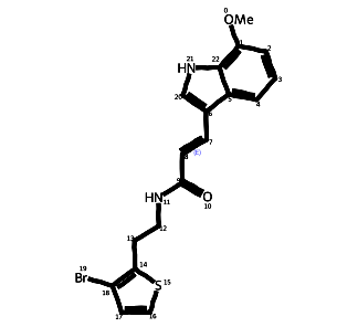 COc1cccc2c(/C=C/C(=O)NCCc3sccc3Br)c[nH]c12